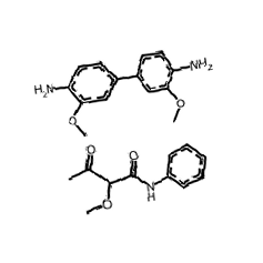 COC(C(C)=O)C(=O)Nc1ccccc1.COc1cc(-c2ccc(N)c(OC)c2)ccc1N